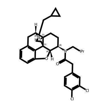 CC(C)CN(C(=O)Cc1ccc(Cl)c(Cl)c1)[C@@H]1CC[C@@]2(O)[C@H]3Cc4cccc5c4[C@@]2(CCN3CC2CC2)[C@H]1O5